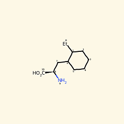 CCC1CCCCC1C[C@@H](N)C(=O)O